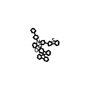 c1ccc(-c2ccc(N(c3ccc(-c4ccc5c(c4)sc4ccccc45)cc3)c3cccc4c3Oc3cc5c(cc3O4)C3(c4ccccc4-c4ccccc43)c3ccccc3-5)cc2)cc1